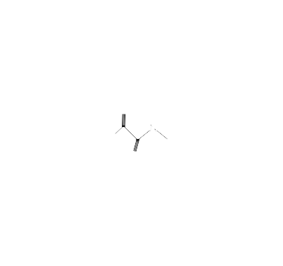 C=C(C)C(=C)NC